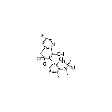 Cc1ccc(C2=C(O)c3ncc(F)cc3CS2(=O)=O)c(Cl)c1N(C)S(C)(=O)=O